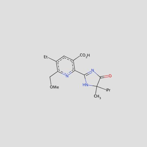 CCc1cc(C(=O)O)c(C2=NC(=O)C(C)(C(C)C)N2)nc1COC